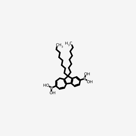 CCCCCCCCC1(CCCCCCCC)C2=C(C=CC(B(O)O)=CC2)c2ccc(B(O)O)cc21